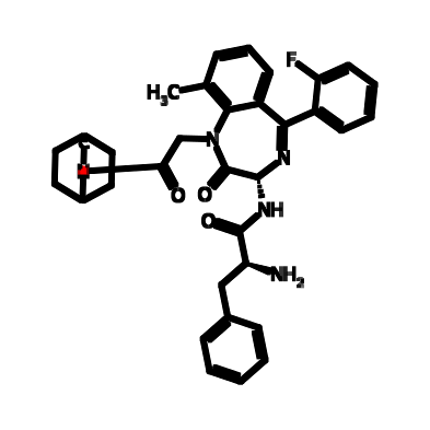 Cc1cccc2c1N(CC(=O)N1CC3CCC(CC3)C1)C(=O)[C@@H](NC(=O)[C@@H](N)Cc1ccccc1)N=C2c1ccccc1F